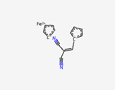 N#CC(C#N)=C[c-]1cccc1.[Fe+2].c1cc[cH-]c1